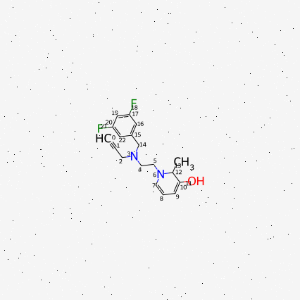 C#CCN(CCN1C=CC=C(O)C1C)Cc1cc(F)cc(F)c1